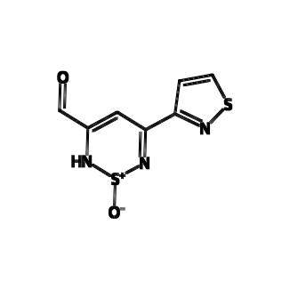 O=CC1=CC(c2ccsn2)=N[S+]([O-])N1